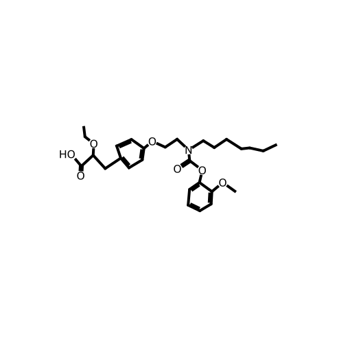 CCCCCCCN(CCOc1ccc(CC(OCC)C(=O)O)cc1)C(=O)Oc1ccccc1OC